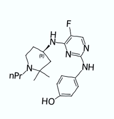 CCCN1CC[C@@H](Nc2nc(Nc3ccc(O)cc3)ncc2F)CC1(C)C